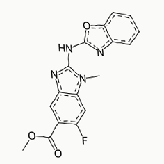 COC(=O)c1cc2nc(Nc3nc4ccccc4o3)n(C)c2cc1F